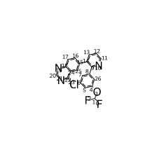 FC(F)Oc1cccc(-c2ncccc2-c2ccc3ncnc(Cl)c3c2)c1